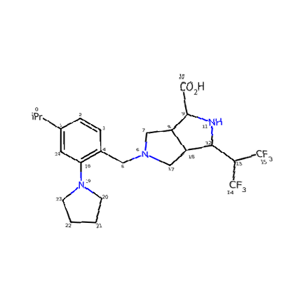 CC(C)c1ccc(CN2CC3C(C(=O)O)NC(C(C(F)(F)F)C(F)(F)F)C3C2)c(N2CCCC2)c1